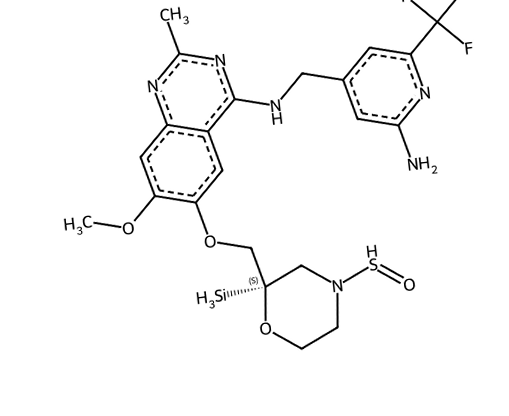 COc1cc2nc(C)nc(NCc3cc(N)nc(C(F)(F)F)c3)c2cc1OC[C@@]1([SiH3])CN([SH]=O)CCO1